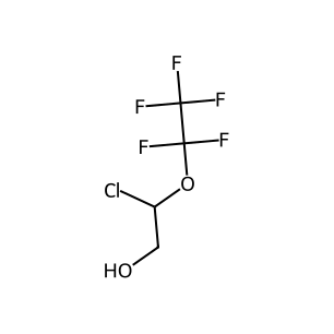 OCC(Cl)OC(F)(F)C(F)(F)F